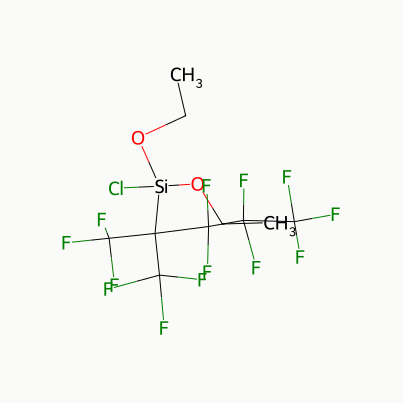 CCO[Si](Cl)(OCC)C(C(F)(F)F)(C(F)(F)F)C(F)(F)C(F)(F)C(F)(F)F